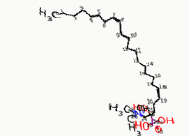 CCCCCCC/C=C\CCCCCCCCC/C=C\CCC(O)(C[N+](C)(C)C)P(=O)(O)O